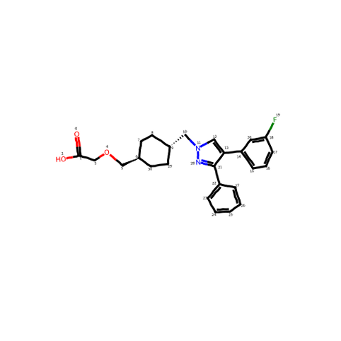 O=C(O)COC[C@H]1CC[C@H](Cn2cc(-c3cccc(F)c3)c(-c3ccccc3)n2)CC1